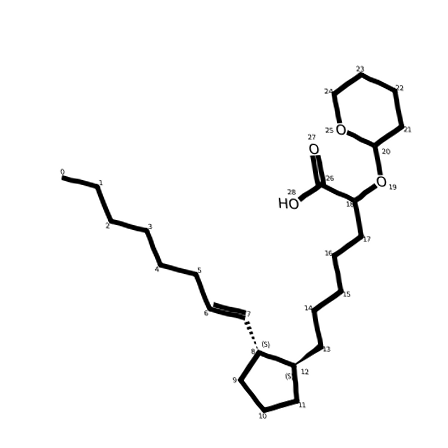 CCCCCCC=C[C@H]1CCC[C@@H]1CCCCCC(OC1CCCCO1)C(=O)O